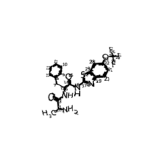 C[C@H](N)C(=O)N[C@@H](Cc1ccccc1)C(=O)Nc1nc2ccc(OC(F)(F)F)cc2s1